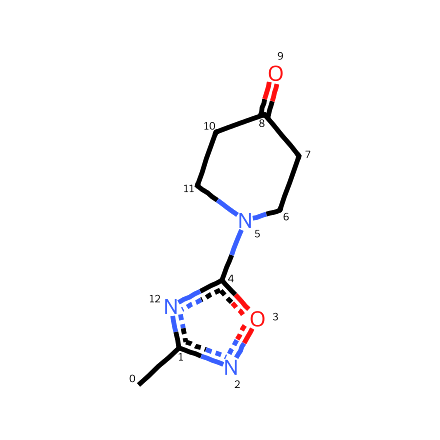 Cc1noc(N2CCC(=O)CC2)n1